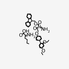 CCCC[C@H](N)C(=O)O.CCOc1ccc(-c2ccc(OCC(=O)N(CN)C(=O)OCC3c4ccccc4-c4ccccc43)cc2)c(OCC)c1